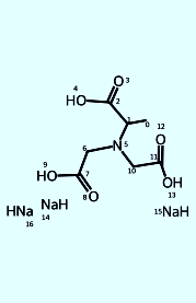 CC(C(=O)O)N(CC(=O)O)CC(=O)O.[NaH].[NaH].[NaH]